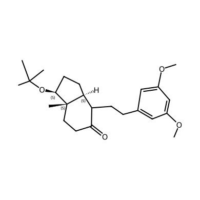 COc1cc(CCC2C(=O)CC[C@]3(C)[C@@H](OC(C)(C)C)CC[C@@H]23)cc(OC)c1